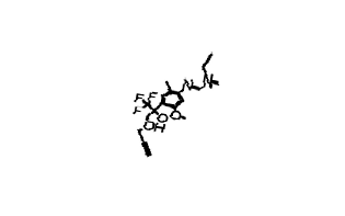 C#CCOCC(O)(c1cc(C)c(/N=C/N(C)CC)cc1OC)C(F)(F)F